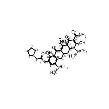 CN(C)c1cc(NC(=O)CN2CCCC2)c(O)c2c1CC1CC3[C@H](N(C)C)C(O)=C(C(N)=O)C(=O)C3(O)C(O)=C1C2=O